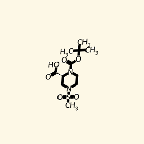 CC(C)(C)OC(=O)N1CCN(S(C)(=O)=O)C[C@@H]1C(=O)O